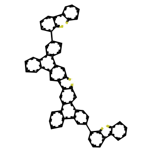 c1ccc2c(c1)sc1c(-c3ccc4c(c3)c3ccccc3c3cc5c(cc43)sc3cc4c6ccc(-c7cccc8c7sc7ccccc78)cc6c6ccccc6c4cc35)cccc12